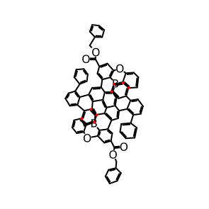 O=C(OCc1ccccc1)c1cc2c3c(c1)-c1cc(-c4c(-c5ccccc5)cccc4-c4ccccc4)c4cc5c6c(cc(-c7c(-c8ccccc8)cccc7-c7ccccc7)c7cc(c1c4c76)B3c1ccccc1O2)-c1cc(C(=O)OCc2ccccc2)cc2c1B5c1ccccc1O2